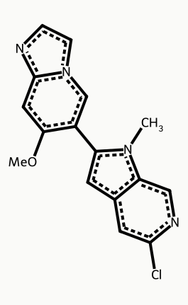 COc1cc2nccn2cc1-c1cc2cc(Cl)ncc2n1C